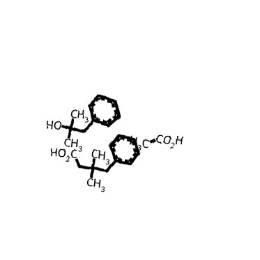 CC(=O)O.CC(C)(CC(=O)O)Cc1ccccc1.CC(C)(O)Cc1ccccc1